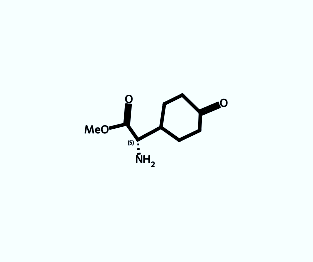 COC(=O)[C@@H](N)C1CCC(=O)CC1